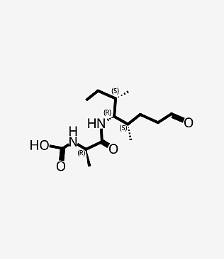 CC[C@H](C)[C@@H](NC(=O)[C@@H](C)NC(=O)O)[C@@H](C)CCC=O